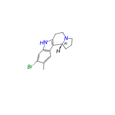 Cc1cc2c3c([nH]c2cc1Br)CCN1CCC[C@H]31